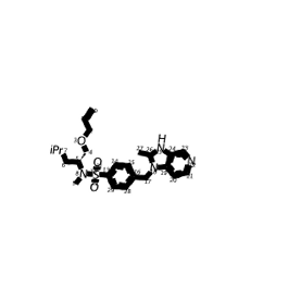 C=CCOC[C@@H](CC(C)C)N(C)S(=O)(=O)c1ccc(CN2c3ccncc3NC2C)cc1